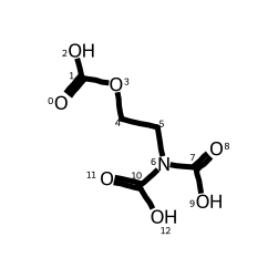 O=C(O)OCCN(C(=O)O)C(=O)O